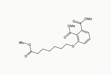 COC(=O)c1cccc(OCCCCCCC(=O)OC(C)(C)C)c1C(=O)OC